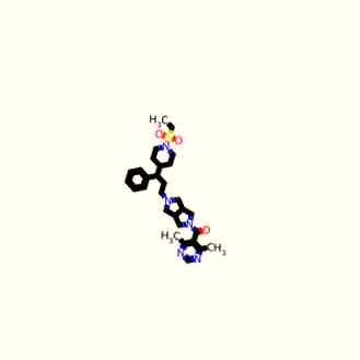 CCS(=O)(=O)N1CCC(C(CCN2CC3CN(C(=O)c4c(C)ncnc4C)CC3C2)c2ccccc2)CC1